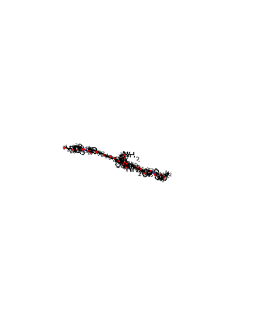 CCCCOc1ccc(OC(=O)/C=C/c2ccc(OCCCCCCCCCCCOC(=O)C(Cc3ccc(N)cc3)(Cc3ccc(N)cc3)C(=O)OCCCCCCCCCCCOc3ccc(/C=C/C(=O)Oc4ccc(OCCCC)cc4)cc3)cc2)cc1